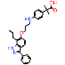 CCCc1c(OCCCNc2ccc(C(C)(C)C(=O)O)cc2)ccc2c(-c3ccccc3)n[nH]c12